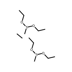 CC.CC[O][Ti]([CH3])[O]CC.CC[O][Ti]([CH3])[O]CC